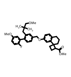 COCC(C)(C)Cc1cc(COc2ccc3c(c2)C2(CCC3)CCC2C(=O)OC)ccc1-c1cc(OC)ccc1F